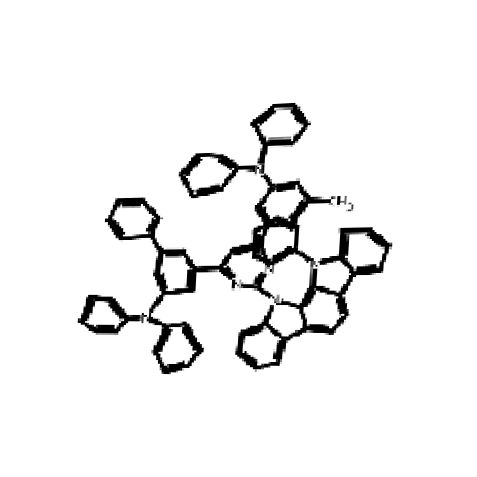 Cc1cc(-c2cc(-c3cc(-c4ccccc4)cc(N(c4ccccc4)c4ccccc4)c3)nc(-n3c4ccccc4c4ccc5c6ccccc6n(-c6ccccc6)c5c43)n2)cc(N(c2ccccc2)c2ccccc2)c1